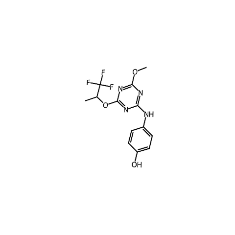 COc1nc(Nc2ccc(O)cc2)nc(OC(C)C(F)(F)F)n1